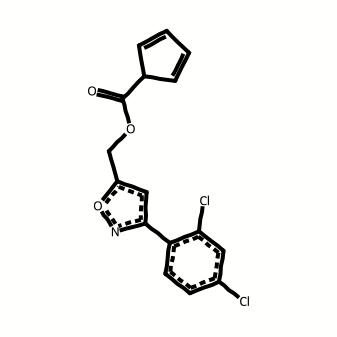 O=C(OCc1cc(-c2ccc(Cl)cc2Cl)no1)C1C=CC=C1